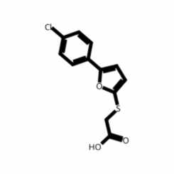 O=C(O)CSc1ccc(-c2ccc(Cl)cc2)o1